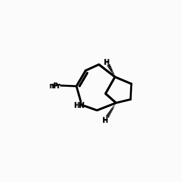 CCC/C1=C/C[C@H]2CC[C@@H](CN1)C2